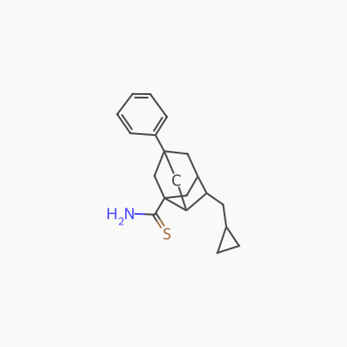 NC(=S)C12CC3CC(c4ccccc4)(CC1C3CC1CC1)C2